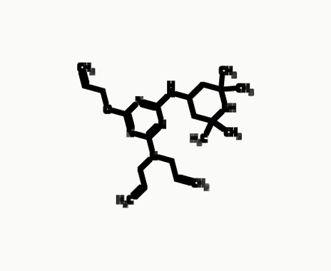 C=CCOc1nc(NC2CC(C)(C)NC(C)(C)C2)nc(N(CC=C)CC=C)n1